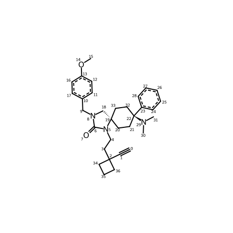 C#CC1(CCN2C(=O)N(Cc3ccc(OC)cc3)C[C@]23CC[C@](c2ccccc2)(N(C)C)CC3)CCC1